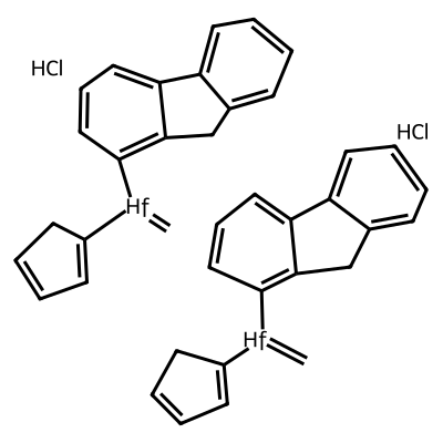 Cl.Cl.[CH2]=[Hf]([C]1=CC=CC1)[c]1cccc2c1Cc1ccccc1-2.[CH2]=[Hf]([C]1=CC=CC1)[c]1cccc2c1Cc1ccccc1-2